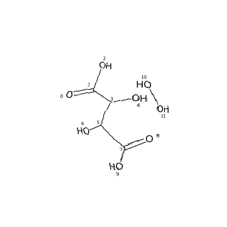 O=C(O)C(O)C(O)C(=O)O.OO